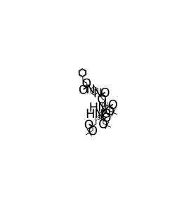 CC(C)(C)OC(=O)CC[C@H](NC(=O)N[C@@H](COC(=O)N1CCN(C(=O)OCc2ccccc2)CC1)C(=O)OC(C)(C)C)C(=O)OC(C)(C)C